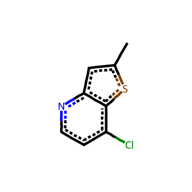 Cc1cc2nccc(Cl)c2s1